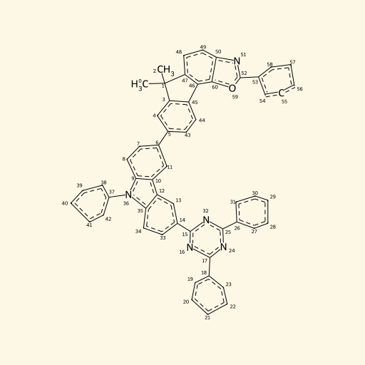 CC1(C)c2cc(-c3ccc4c(c3)c3cc(-c5nc(-c6ccccc6)nc(-c6ccccc6)n5)ccc3n4-c3ccccc3)ccc2-c2c1ccc1nc(-c3ccccc3)oc21